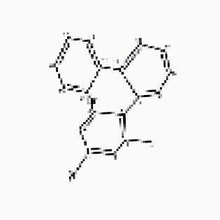 Cc1cc(Br)cc(Br)c1-c1ccccc1-c1ccccc1